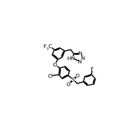 O=S(=O)(Cc1cccc(F)c1)c1ccc(Oc2cc(Cc3nnn[nH]3)cc(C(F)(F)F)c2)c(Cl)c1